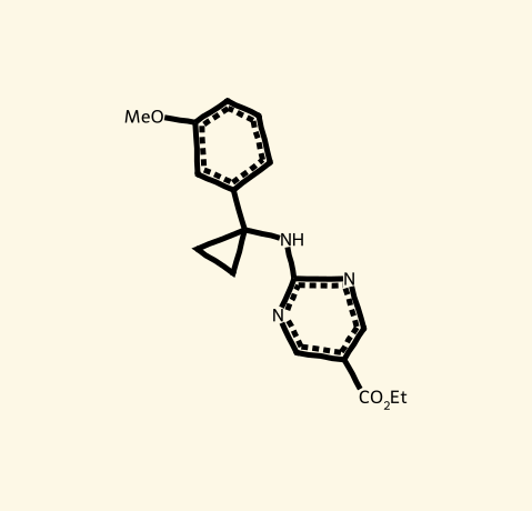 CCOC(=O)c1cnc(NC2(c3cccc(OC)c3)CC2)nc1